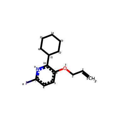 C=CCOc1ccc(I)nc1C1CCCCC1